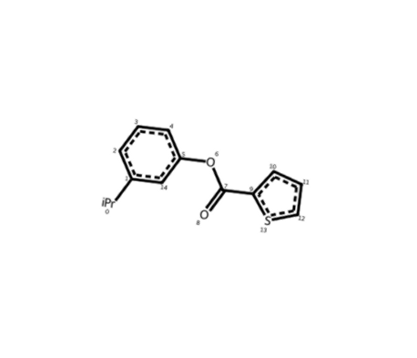 CC(C)c1cccc(OC(=O)c2cccs2)c1